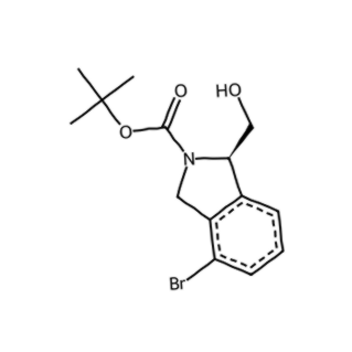 CC(C)(C)OC(=O)N1Cc2c(Br)cccc2[C@@H]1CO